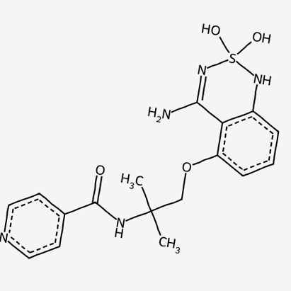 CC(C)(COc1cccc2c1C(N)=NS(O)(O)N2)NC(=O)c1ccncc1